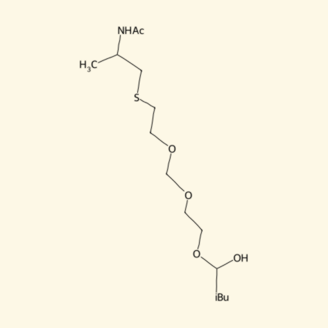 CCC(C)C(O)OCCOCOCCSCC(C)NC(C)=O